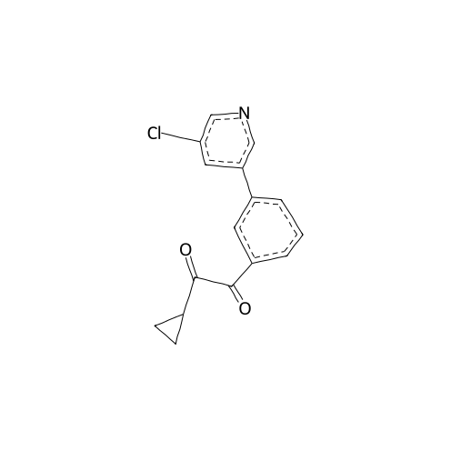 O=C(C(=O)C1CC1)c1cccc(-c2cncc(Cl)c2)c1